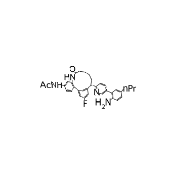 CCCc1ccc(N)c(-c2ccc(C3CCCCC(=O)Nc4cc(NC(C)=O)ccc4-c4cc(F)cc3c4)nc2)c1